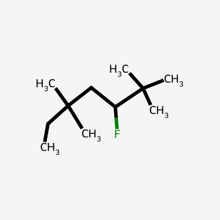 CCC(C)(C)CC(F)C(C)(C)C